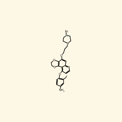 CC(=O)N1CCN(CCCOc2cc3nccc(Oc4ccc(N)cc4F)c3c3c2OCCO3)CC1